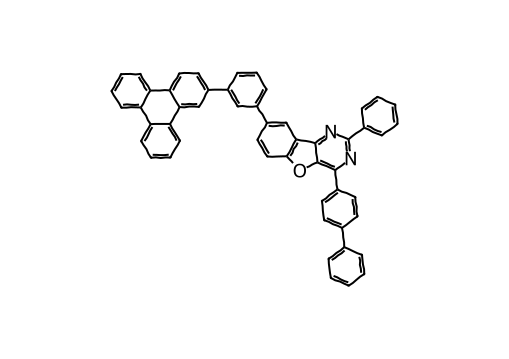 c1ccc(-c2ccc(-c3nc(-c4ccccc4)nc4c3oc3ccc(-c5cccc(-c6ccc7c8ccccc8c8ccccc8c7c6)c5)cc34)cc2)cc1